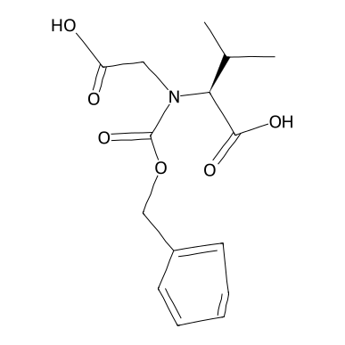 CC(C)[C@@H](C(=O)O)N(CC(=O)O)C(=O)OCc1ccccc1